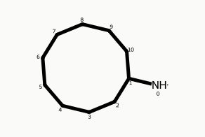 [NH]C1CCCCCCCCC1